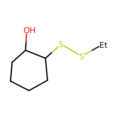 CCSSC1CCCCC1O